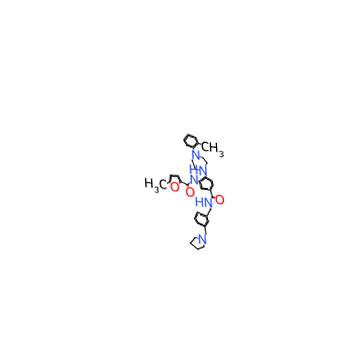 Cc1ccc(C(=O)Nc2cc(C(=O)NCc3cccc(CN4CCCC4)c3)ccc2N2CCN(c3ccccc3C)CC2)o1